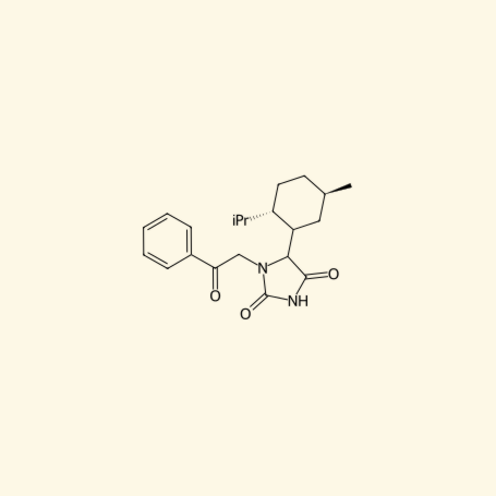 CC(C)[C@@H]1CC[C@@H](C)CC1C1C(=O)NC(=O)N1CC(=O)c1ccccc1